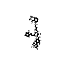 COC(=O)c1c(O)cccc1OCCCCCNC(=O)[C@H](Cc1ccc(C2CC(=O)NS2(=O)=O)c(F)c1)NC(=O)CCc1ccccc1Cl